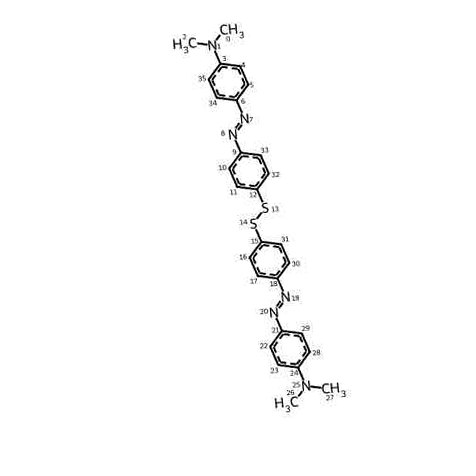 CN(C)c1ccc(/N=N/c2ccc(SSc3ccc(/N=N/c4ccc(N(C)C)cc4)cc3)cc2)cc1